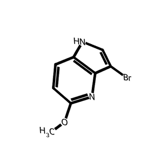 COc1ccc2[nH]cc(Br)c2n1